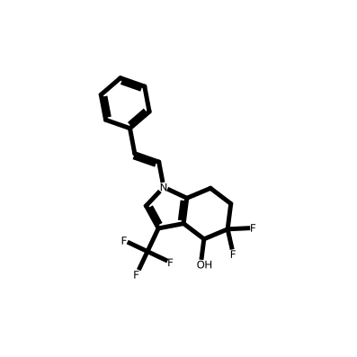 OC1c2c(C(F)(F)F)cn(/C=C/c3ccccc3)c2CCC1(F)F